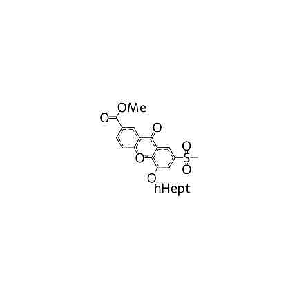 CCCCCCCOc1cc(S(C)(=O)=O)cc2c(=O)c3cc(C(=O)OC)ccc3oc12